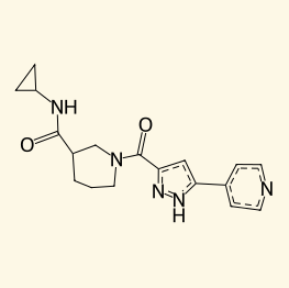 O=C(NC1CC1)C1CCCN(C(=O)c2cc(-c3ccncc3)[nH]n2)C1